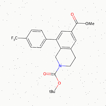 COC(=O)c1cc2c(c(-c3ccc(C(F)(F)F)cc3)c1)CN(C(=O)OC(C)(C)C)CC2